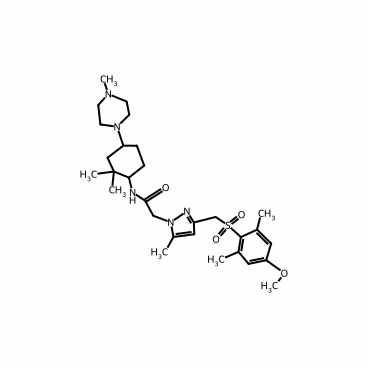 COc1cc(C)c(S(=O)(=O)Cc2cc(C)n(CC(=O)NC3CCC(N4CCN(C)CC4)CC3(C)C)n2)c(C)c1